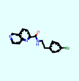 O=C(NCCc1ccc(Br)cc1)c1ccc2cnccc2n1